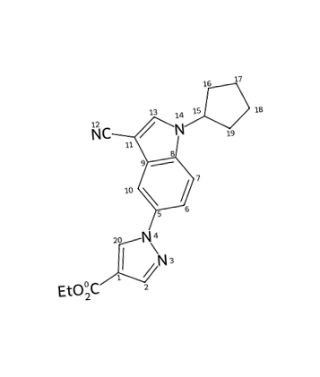 CCOC(=O)c1cnn(-c2ccc3c(c2)c(C#N)cn3C2CCCC2)c1